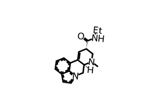 CCNC(=O)[C@H]1C=C2c3cccc4ccn(c34)C[C@@H]2N(C)C1